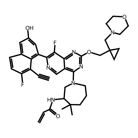 C#Cc1c(F)ccc2cc(O)cc(-c3ncc4c(N5CCCC(C)(C)C(NC(=O)C=C)C5)nc(OCC5(CN6CCOCC6)CC5)nc4c3F)c12